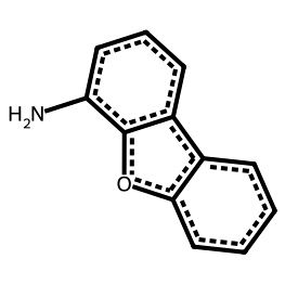 Nc1cccc2c1oc1ccccc12